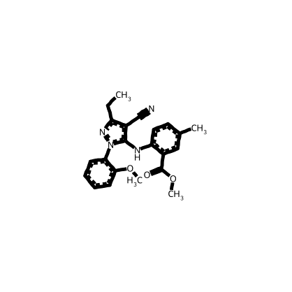 CCc1nn(-c2ccccc2OC)c(Nc2ccc(C)cc2C(=O)OC)c1C#N